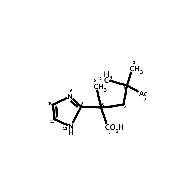 CC(=O)C(C)(C)CC(C)(C(=O)O)c1ncc[nH]1